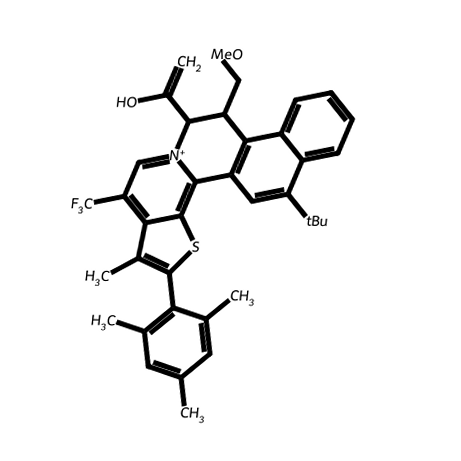 C=C(O)C1C(COC)c2c(cc(C(C)(C)C)c3ccccc23)-c2c3sc(-c4c(C)cc(C)cc4C)c(C)c3c(C(F)(F)F)c[n+]21